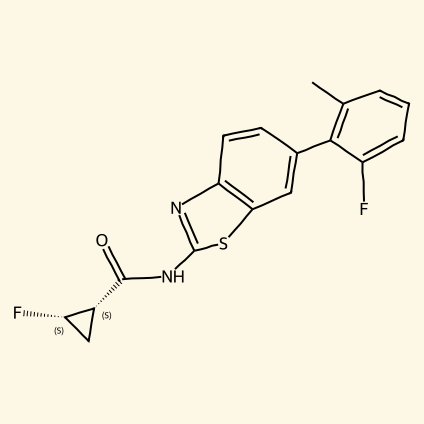 Cc1cccc(F)c1-c1ccc2nc(NC(=O)[C@@H]3C[C@@H]3F)sc2c1